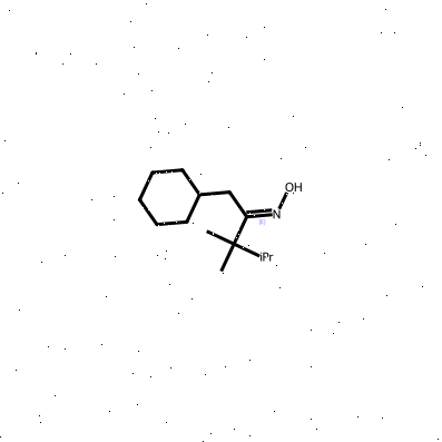 CC(C)C(C)(C)/C(CC1CCCCC1)=N/O